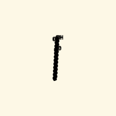 CCCCCCCCCCCCCCCCCOC(=O)CCCCC(=O)O